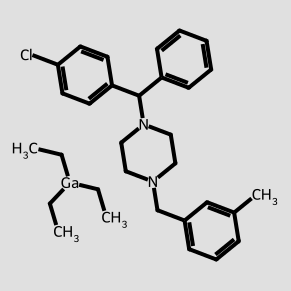 C[CH2][Ga]([CH2]C)[CH2]C.Cc1cccc(CN2CCN(C(c3ccccc3)c3ccc(Cl)cc3)CC2)c1